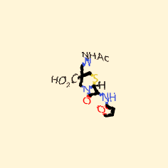 CC(=O)NN=CC1(C(=O)O)CS[C@@H]2C(Nc3ccco3)C(=O)N2C1